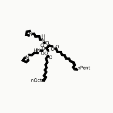 CCCCC/C=C\C/C=C\CCCCCCCC(=O)OCC(OC(=O)NCCCCN1CCCC1)C(COC(=O)CCCCCCC/C=C\CCCCCCCC)OC(=O)NCCCCN1CCCC1